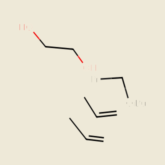 C=CC.C=CC.CC(C)COCC(C)C.OCCO